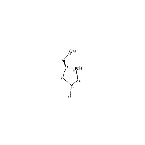 CC1CN[C@H](CO)C1